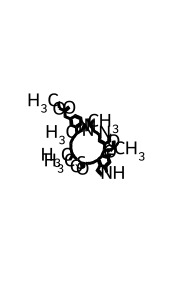 CCOC(=O)Cc1cccc([C@@]2(C)CCCC(C)(C)CS(=O)(=O)CCc3c(c(F)cc4[nH]ccc34)C(OC(C)=O)c3ccnc(c3)-c3nc2nn3C)c1